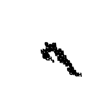 CS(=O)(=O)c1cncc(COc2nc(O[C@H]3CCc4c(-c5cccc(-c6ccc(OCCN(CCO)C(=O)O)cc6)c5Cl)cccc43)c(Cl)cc2C=O)c1